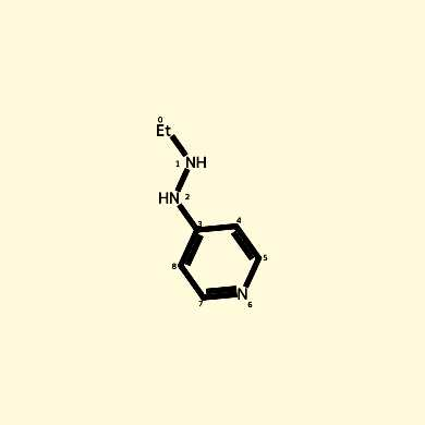 CCNNc1ccncc1